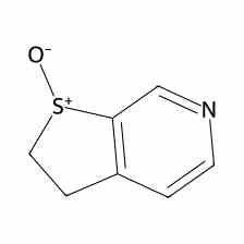 [O-][S+]1CCc2ccncc21